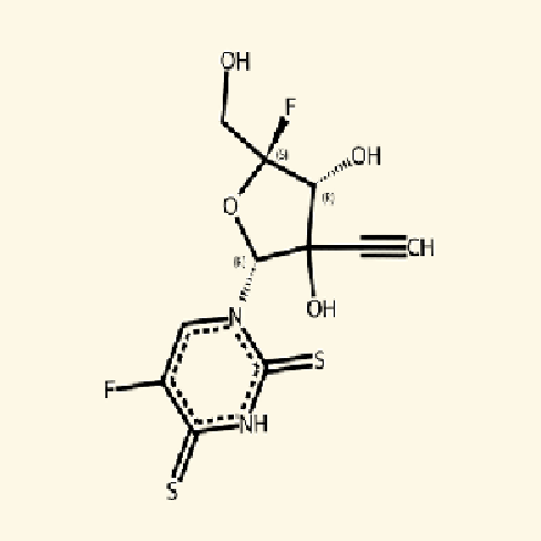 C#CC1(O)[C@@H](O)[C@@](F)(CO)O[C@H]1n1cc(F)c(=S)[nH]c1=S